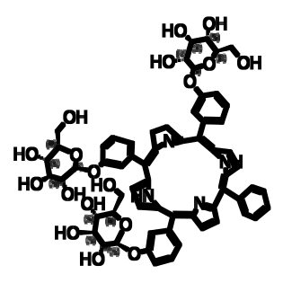 OC[C@H]1O[C@@H](Oc2cccc(-c3c4nc(c(-c5ccccc5)c5ccc([nH]5)c(-c5cccc(O[C@@H]6O[C@H](CO)[C@@H](O)[C@H](O)[C@H]6O)c5)c5nc(c(-c6cccc(O[C@@H]7O[C@H](CO)[C@@H](O)[C@H](O)[C@H]7O)c6)c6ccc3[nH]6)CC5)C=C4)c2)[C@H](O)[C@@H](O)[C@@H]1O